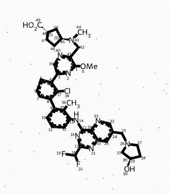 COc1nc(-c2cccc(-c3cccc(Nc4nc(C(F)F)nc5cc(CN6CC[C@@H](O)C6)cnc45)c3C)c2Cl)cnc1CN(C)[C@H]1CC[C@H](C(=O)O)C1